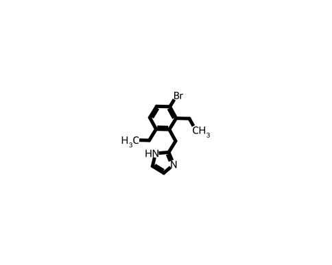 CCc1ccc(Br)c(CC)c1Cc1ncc[nH]1